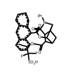 CC(C)N1C(=O)C2C3CC(C(OC(=O)c4c5ccccc5cc5ccccc45)C31)C2C(=O)OC(C)C(F)(F)S(=O)(=O)O